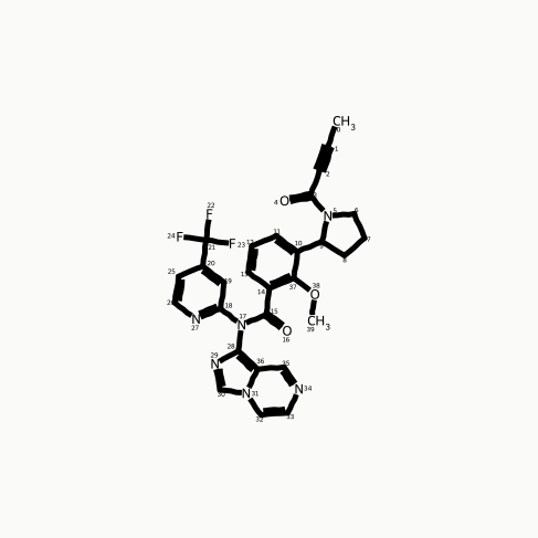 CC#CC(=O)N1CCCC1c1cccc(C(=O)N(c2cc(C(F)(F)F)ccn2)c2ncn3ccncc23)c1OC